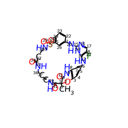 CC12Oc3ccc(cc3NC1=O)Nc1nc(ncc1F)Nc1cccc(c1)S(=O)(=O)NCCC(=O)NCCCNC2=O